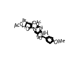 COc1ccc(C(=O)Nc2nc(=O)n([C@@H]3O[C@H](COC(C)=O)[C@H](Br)[C@H]3OC(C)=O)cc2Br)cc1